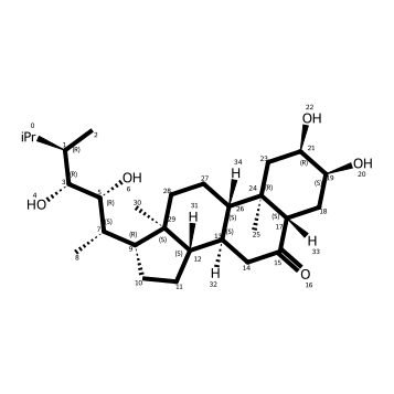 CC(C)[C@@H](C)[C@@H](O)[C@H](O)[C@@H](C)[C@H]1CC[C@H]2[C@@H]3CC(=O)[C@H]4C[C@H](O)[C@H](O)C[C@]4(C)[C@H]3CC[C@]12C